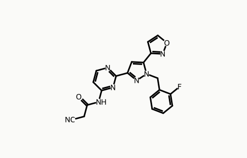 N#CCC(=O)Nc1ccnc(-c2cc(-c3ccon3)n(Cc3ccccc3F)n2)n1